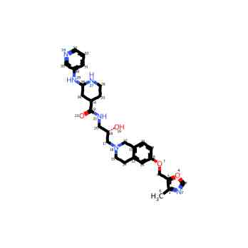 Cc1ncoc1COc1ccc2c(c1)CCN(C[C@@H](O)CNC(=O)C1CCNC(Nc3cccnc3)C1)C2